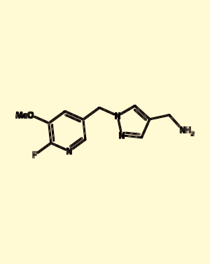 COc1cc(Cn2cc(CN)cn2)cnc1F